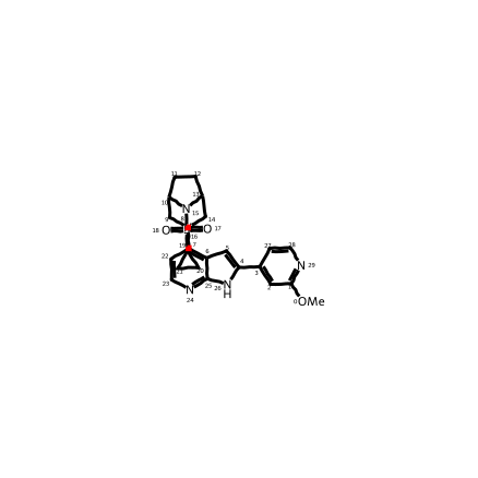 COc1cc(-c2cc3c(N4CC5CCC(C4)N5S(=O)(=O)C4CC4)ccnc3[nH]2)ccn1